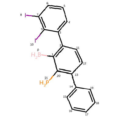 Bc1c(-c2cccc(I)c2I)ccc(-c2ccccc2)c1P